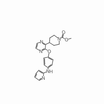 COC(=O)N1CCC(c2nccnc2Oc2ccc(Nc3ccccn3)cc2)CC1